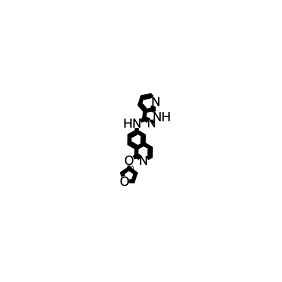 c1cnc2[nH]nc(Nc3ccc4c(O[C@@H]5CCOC5)nccc4c3)c2c1